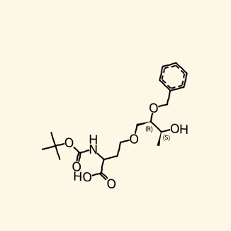 C[C@H](O)[C@@H](COCCC(NC(=O)OC(C)(C)C)C(=O)O)OCc1ccccc1